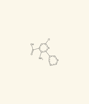 Nc1c(C(=O)O)cc(Cl)nc1-c1cccnc1